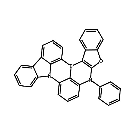 c1ccc(N2c3cccc4c3B(c3c2oc2ccccc32)c2cccc3c5ccccc5n-4c23)cc1